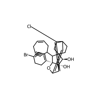 O[C@@H]1C23CCC4(C=C5O[C@@](C6=CC=C(Br)CC6)(C2C2C#CCC=CC2)[C@]1(O)C5=C4Cl)CC3